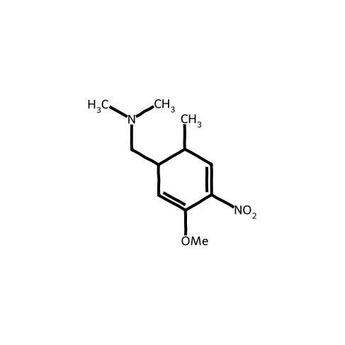 COC1=CC(CN(C)C)C(C)C=C1[N+](=O)[O-]